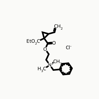 C=CC1CC1(C(=O)OCC)C(=O)OCC[N+](C)(C)Cc1ccccc1.[Cl-]